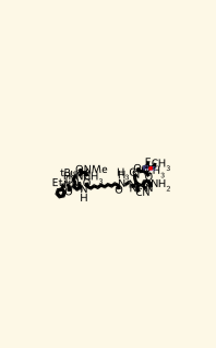 C/C=C\C(F)=C/C1C(=O)N(C)Cc2c(c(C#N)nn2CCNC(=O)CCCCCCCCC(=O)N[C@H]2C[C@@H](C(=O)N[C@H](CC)c3ccccc3)N(C(=O)[C@@H](NC(=O)[C@H](C)NC)C(C)(C)C)C2)-c2cnc(N)c(c2)O[C@@H]1C